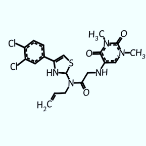 C=CCN(C(=O)CNc1cn(C)c(=O)n(C)c1=O)C1NC(c2ccc(Cl)c(Cl)c2)=CS1